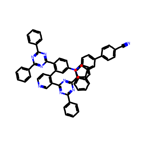 N#Cc1ccc(-c2ccc3c(c2)c2ccccc2n3-c2ccc(-c3nc(-c4ccccc4)nc(-c4ccccc4)n3)c(-c3ccncc3-c3nc(-c4ccccc4)nc(-c4ccccc4)n3)c2)cc1